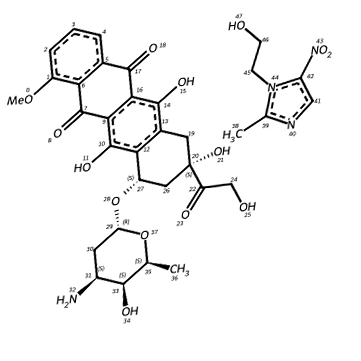 COc1cccc2c1C(=O)c1c(O)c3c(c(O)c1C2=O)C[C@@](O)(C(=O)CO)C[C@@H]3O[C@H]1C[C@H](N)[C@H](O)[C@H](C)O1.Cc1ncc([N+](=O)[O-])n1CCO